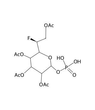 CC(=O)OC[C@H](F)C1OC(OP(=O)(O)O)C(OC(C)=O)C(OC(C)=O)C1OC(C)=O